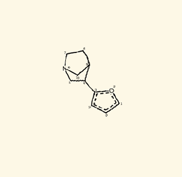 c1coc(C2CN3CCC2C3)c1